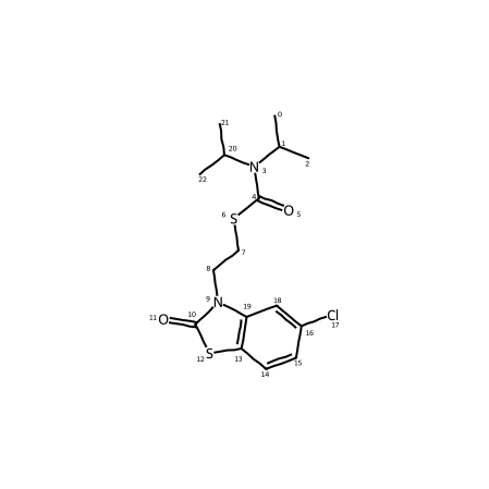 CC(C)N(C(=O)SCCn1c(=O)sc2ccc(Cl)cc21)C(C)C